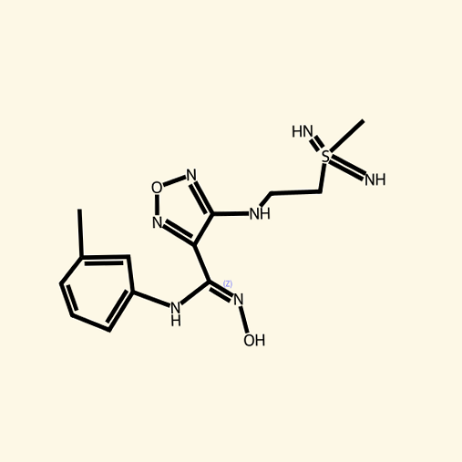 Cc1cccc(N/C(=N\O)c2nonc2NCCS(C)(=N)=N)c1